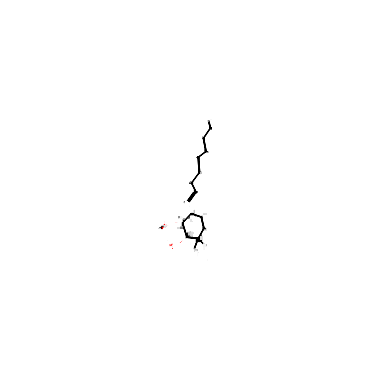 CCCCCCCC=C[C@@H]1CCC(C)(C)[C@@H](OC)[C@@H]1OC